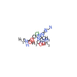 CNC[C@@H](O)COc1ccc(Cl)c(-c2nc(/C(C(C)=N)=C(\C)O)c(C)c(N3CC4(CN(CCC#N)C4)C3)n2)c1